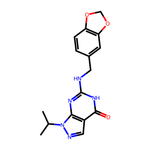 CC(C)n1ncc2c(=O)[nH]c(NCc3ccc4c(c3)OCO4)nc21